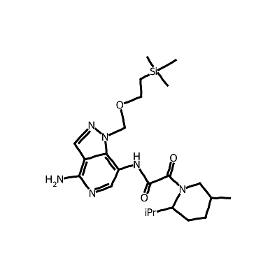 CC1CCC(C(C)C)N(C(=O)C(=O)Nc2cnc(N)c3cnn(COCC[Si](C)(C)C)c23)C1